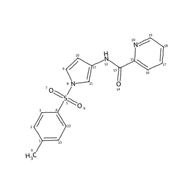 Cc1ccc(S(=O)(=O)n2ccc(NC(=O)c3ccccn3)c2)cc1